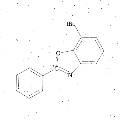 CC(C)(C)c1cccc2n[13c](-c3ccccc3)oc12